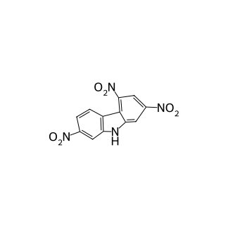 O=[N+]([O-])c1ccc2c(c1)[nH]c1cc([N+](=O)[O-])cc([N+](=O)[O-])c12